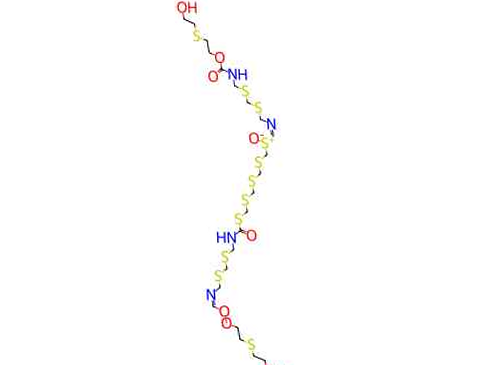 O=C(NCSCSC/N=C\[S+]([O-])CSCSCSCSC(=O)NCSCSC/N=C\OOCCSCCO)OCCSCCO